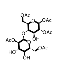 CC(=O)OC[C@H]1O[C@@H](O[C@H]2[C@H](O)[C@@H](OC(C)=O)[C@H](OC(C)=O)O[C@@H]2COC(C)=O)[C@H](OC(C)=O)[C@@H](O)[C@@H]1O